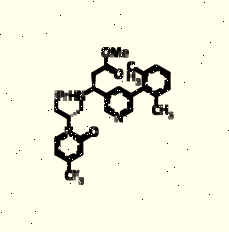 COC(=O)C[C@H](NC[C@@H](CC(C)C)n1ccc(C(F)(F)F)cc1=O)c1cncc(-c2c(C)cccc2C)c1